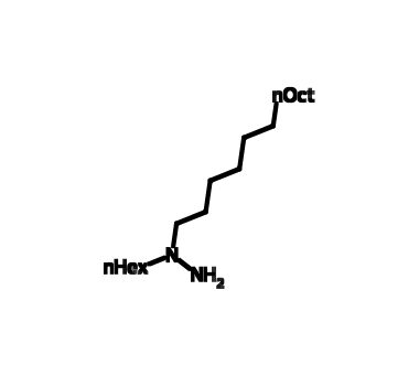 CCCCCCCCCCCCCCN(N)CCCCCC